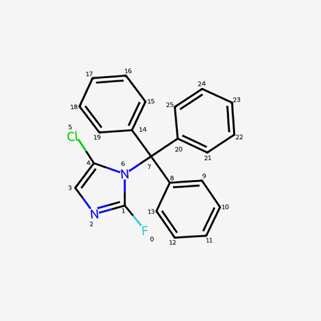 Fc1ncc(Cl)n1C(c1ccccc1)(c1ccccc1)c1ccccc1